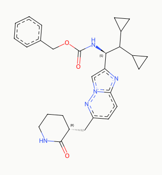 O=C(N[C@H](c1cn2nc(C[C@H]3CCCNC3=O)ccc2n1)C(C1CC1)C1CC1)OCc1ccccc1